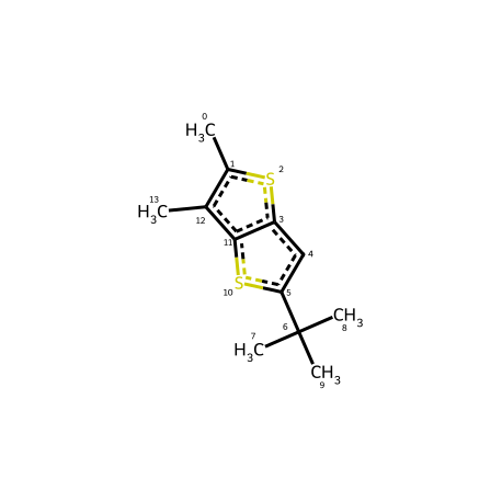 Cc1sc2cc(C(C)(C)C)sc2c1C